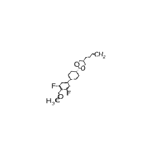 C=CCC[C@H]1CO[C@H](C2CCC(c3cc(F)c(COC)c(F)c3)CC2)OC1